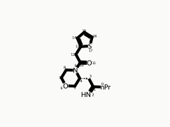 CCCC(=N)C[C@@H]1COCCN1C(=O)Cc1cccs1